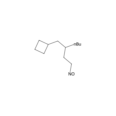 CCCCC(CCN=O)CC1CCC1